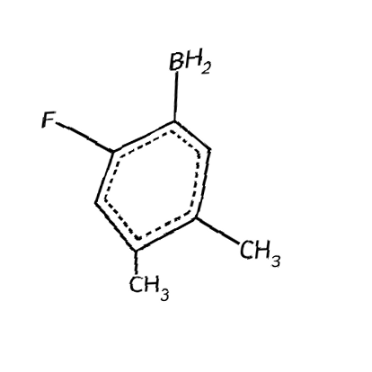 Bc1cc(C)c(C)cc1F